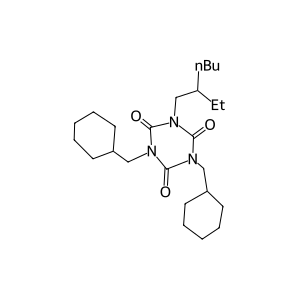 CCCCC(CC)Cn1c(=O)n(CC2CCCCC2)c(=O)n(CC2CCCCC2)c1=O